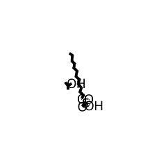 CC(C)O.CCCCCCCCCCCCOS(=O)(=O)O